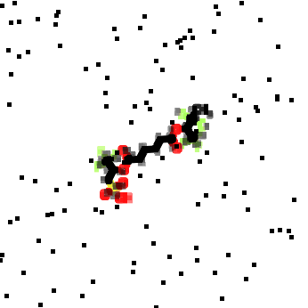 CC(F)(F)C(OC(=O)CCCCC(=O)OC(CS(=O)(=O)O)C(F)(F)F)C(F)(F)F